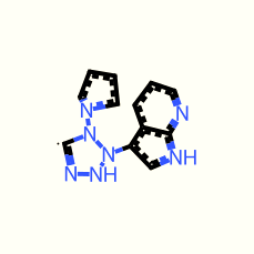 [C]1=NNN(c2c[nH]c3ncccc23)N1n1cccc1